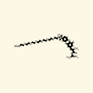 CNCCOCCOCCOCCOCCOCCOCCNS(=O)(=O)c1ccc(Oc2c(F)cc(/C=C(\C)C(=O)N=C(N)N)cc2F)cc1